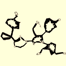 C=Cc1c(N2COC(C3(c4ccc(Cl)cc4)CC3)=N2)nn(-c2ccc(Cl)cc2Cl)c1-c1ccc(Cl)cc1